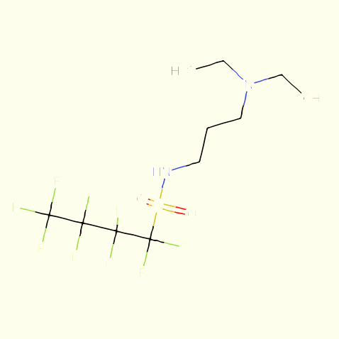 CCN(CC)CCCNS(=O)(=O)C(F)(F)C(F)(F)C(F)(F)C(F)(F)F